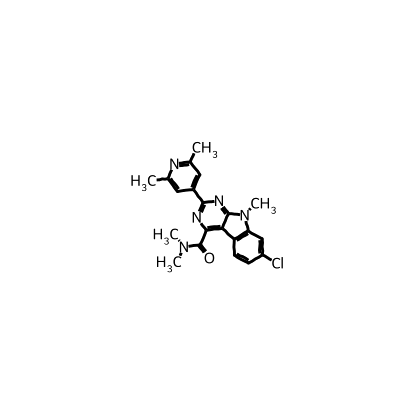 Cc1cc(-c2nc(C(=O)N(C)C)c3c4ccc(Cl)cc4n(C)c3n2)cc(C)n1